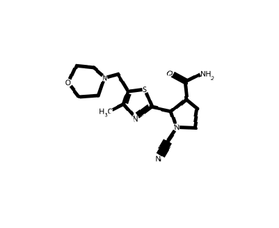 Cc1nc(C2C(C(N)=O)CCN2C#N)sc1CN1CCOCC1